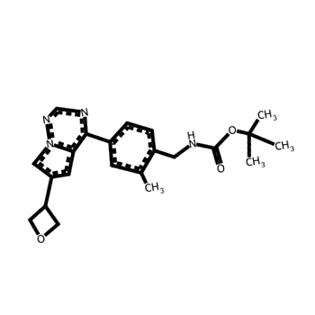 Cc1cc(-c2ncnn3cc(C4COC4)cc23)ccc1CNC(=O)OC(C)(C)C